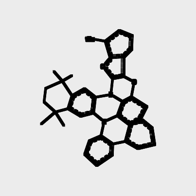 CC(C)(C)c1cccc2c3c(oc12)B1c2cc4c(cc2N(c2ccccc2-c2ccccc2)c2cccc(c21)O3)C(C)(C)CCC4(C)C